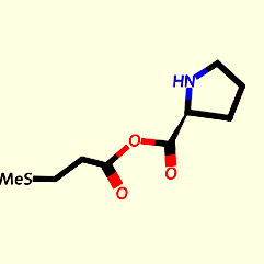 CSCCC(=O)OC(=O)[C@@H]1CCCN1